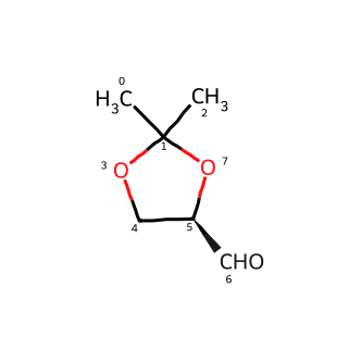 CC1(C)OC[C@H](C=O)O1